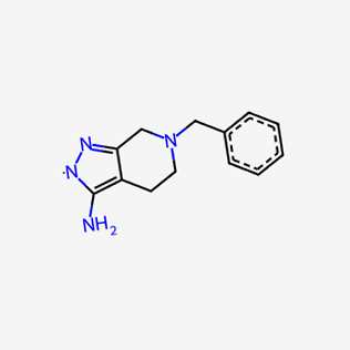 NC1=C2CCN(Cc3ccccc3)CC2=N[N]1